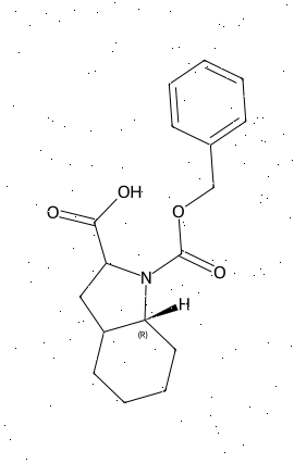 O=C(O)C1CC2CCCC[C@H]2N1C(=O)OCc1ccccc1